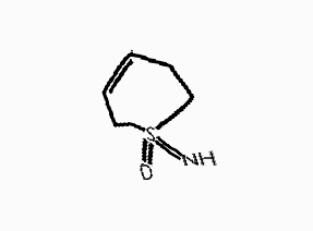 N=S1(=O)CC=[C]CC1